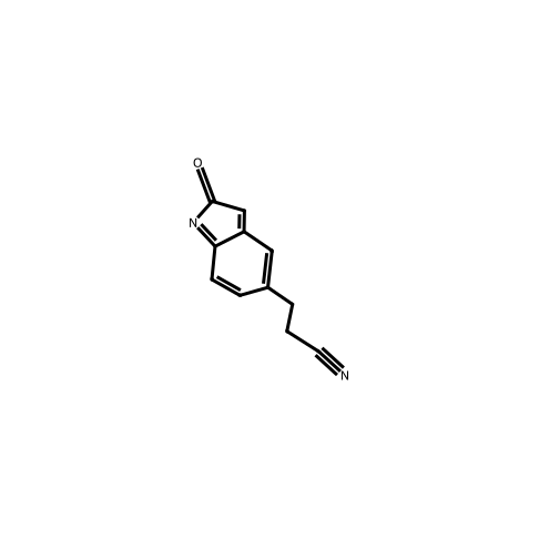 N#CCCc1ccc2c(c1)=CC(=O)N=2